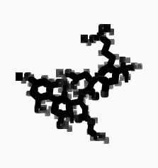 CCOC(=O)C[C@H](NC(=O)C(CC(C)C)n1cc(CCCN(C)C)c(C(F)(F)F)cc1=O)c1c(F)c(C)cc(-c2c(C)cc(C)cc2C)c1F